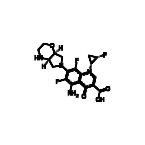 Nc1c(F)c(N2C[C@@H]3OCCN[C@@H]3C2)c(F)c2c1c(=O)c(C(=O)O)cn2[C@@H]1C[C@@H]1F